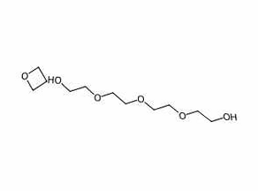 C1COC1.OCCOCCOCCOCCO